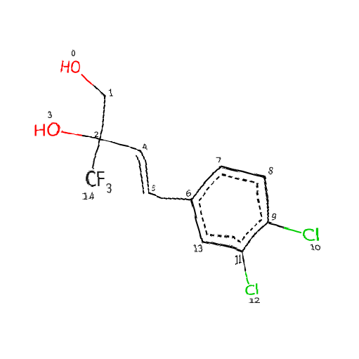 OCC(O)(/C=C/c1ccc(Cl)c(Cl)c1)C(F)(F)F